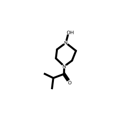 CC(C)C(=O)N1CCN(O)CC1